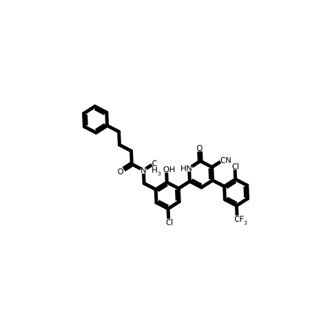 CN(Cc1cc(Cl)cc(-c2cc(-c3cc(C(F)(F)F)ccc3Cl)c(C#N)c(=O)[nH]2)c1O)C(=O)CCCc1ccccc1